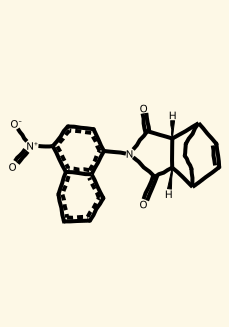 O=C1[C@@H]2C3C=CC(CCC3)[C@@H]2C(=O)N1c1ccc([N+](=O)[O-])c2ccccc12